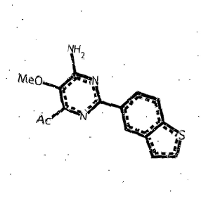 COc1c(N)nc(-c2ccc3sccc3c2)nc1C(C)=O